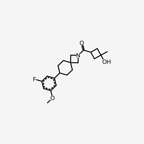 COc1cc(F)cc(C2CCC3(CC2)CN(C(=O)C2CC(C)(O)C2)C3)c1